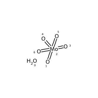 O.[O]=[Mo](=[O])(=[O])(=[O])=[O]